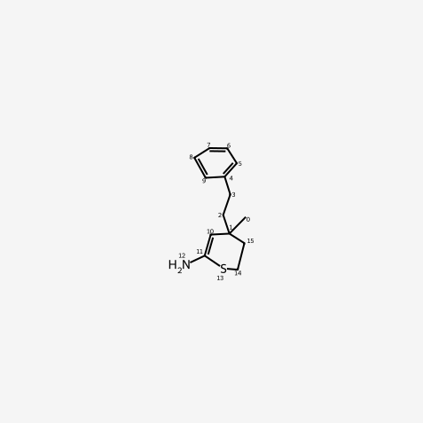 CC1(CCc2ccccc2)C=C(N)SCC1